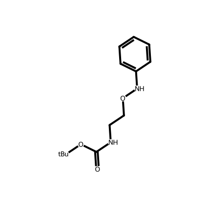 CC(C)(C)OC(=O)NCCONc1ccccc1